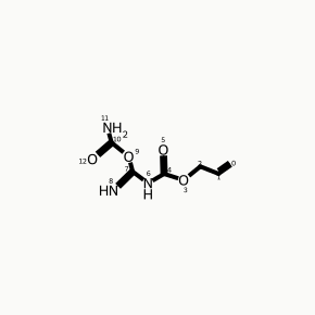 C=CCOC(=O)NC(=N)OC(N)=O